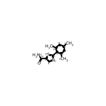 Cc1cc(C)c(-c2ncc(C(N)=O)s2)c(C)c1